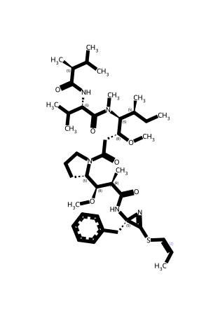 C/C=C\SC1=N[C@]1(Cc1ccccc1)NC(=O)[C@H](C)[C@@H](OC)[C@@H]1CCCN1C(=O)C[C@@H](OC)[C@H]([C@@H](C)CC)N(C)C(=O)[C@@H](NC(=O)[C@@H](C)C(C)C)C(C)C